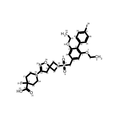 CCOc1cc(CS(=O)(=O)N2CC3(CC(N4CCC(F)(C(=O)O)CC4)=NO3)C2)cc(OCC)c1-c1ccc(F)cc1